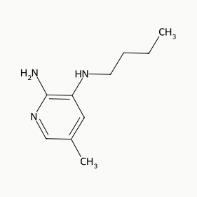 CCCCNc1cc(C)cnc1N